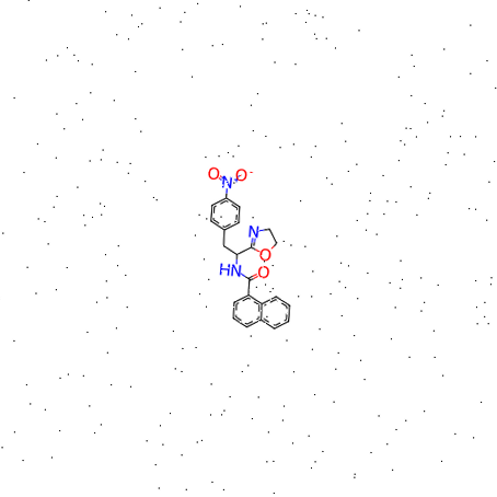 O=C(NC(Cc1ccc([N+](=O)[O-])cc1)C1=NCCO1)c1cccc2ccccc12